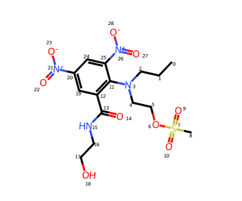 CCCN(CCOS(C)(=O)=O)c1c(C(=O)NCCO)cc([N+](=O)[O-])cc1[N+](=O)[O-]